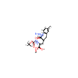 COC(=O)C(CC1Cc2cc(C)ccc2NC1=O)NC(=O)OC(C)(C)C